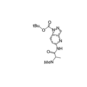 CNC(C)C(=O)Nc1ccc2c(cnn2C(=O)OC(C)(C)C)n1